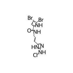 O=C(NC/C=C/c1cnc(NCl)[nH]1)c1cc(Br)c(Br)[nH]1